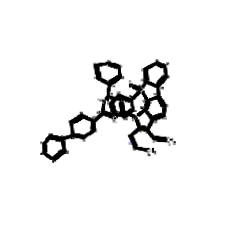 C=Cc1c(/C=C\C)n(-c2nc(-c3ccccc3)nc(-c3ccc(-c4ccccc4)cc3)n2)c2c3c(ccc12)-c1ccccc1P3(=O)c1ccccc1